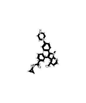 Cn1c(-c2ccc(N3CCNCC3)cc2)c(-c2cccc(C(=O)NC3CC3)c2)c2c(Cl)ccnc21